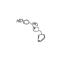 Cl.Oc1ccc(CCN2CCC(Cc3ccccc3)CC2)cc1